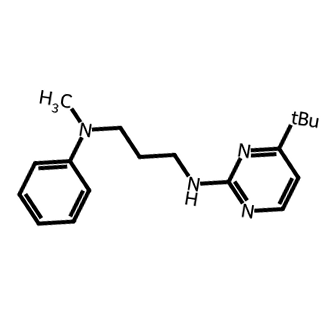 CN(CCCNc1nccc(C(C)(C)C)n1)c1ccccc1